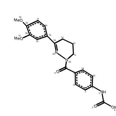 COC(=O)Nc1ccc(C(=O)N2CCCC(c3ccc(OC)c(OC)c3)=N2)cc1